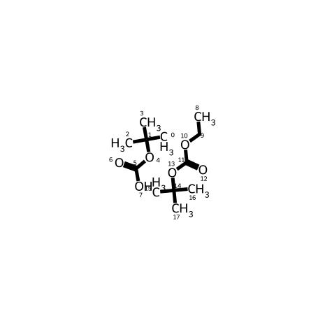 CC(C)(C)OC(=O)O.CCOC(=O)OC(C)(C)C